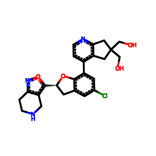 OCC1(CO)Cc2nccc(-c3cc(Cl)cc4c3O[C@@H](c3onc5c3CNCC5)C4)c2C1